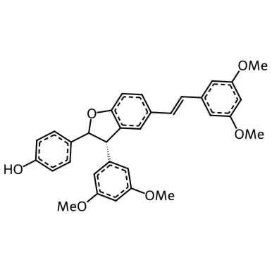 COc1cc(/C=C/c2ccc3c(c2)[C@H](c2cc(OC)cc(OC)c2)C(c2ccc(O)cc2)O3)cc(OC)c1